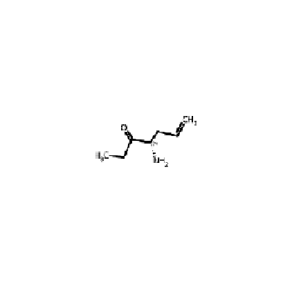 C=CC[C@H](N)C(=O)CC